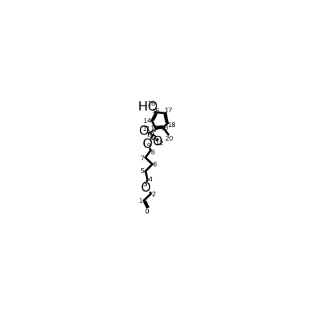 C=CCOCCCCCOS(=O)(=O)c1cc(O)ccc1C